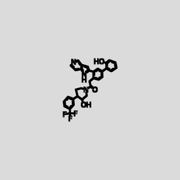 O=C(Cc1ccc(-c2ccccc2O)cc1-c1cc2cnccc2[nH]1)N1CCC(c2cccc(C(F)(F)F)c2)C(O)C1